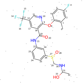 Cc1cc(F)ccc1Oc1ncc(C(F)(F)F)cc1C(=O)Nc1cccc([S+]([O-])CNC(C)O)c1